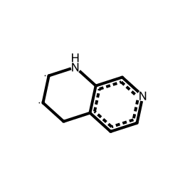 [CH]1[CH]Nc2cnccc2C1